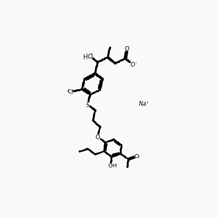 CCCc1c(OCCCSc2ccc(C(O)C(C)CC(=O)[O-])cc2Cl)ccc(C(C)=O)c1O.[Na+]